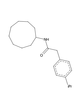 CC(C)c1ccc(CC(=O)NC2CCCCCCCC2)cc1